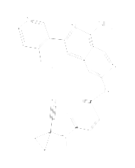 Cc1ccncc1-c1cc2cc(NC(=O)/C=C\C(=O)NC3(C#N)CC3)ncc2c(N)n1